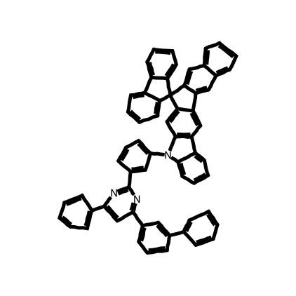 c1ccc(-c2cccc(-c3cc(-c4ccccc4)nc(-c4cccc(-n5c6ccccc6c6cc7c(cc65)C5(c6ccccc6-c6ccccc65)c5cc6ccccc6cc5-7)c4)n3)c2)cc1